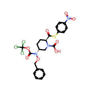 O=C(Sc1ccc([N+](=O)[O-])cc1)[C@@H]1CC[C@@H](N(OCc2ccccc2)C(=O)OC(Cl)(Cl)Cl)CN1C(=O)O